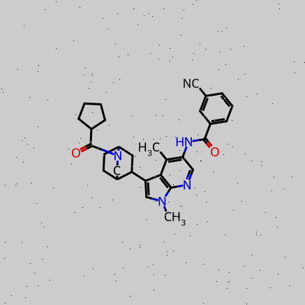 Cc1c(NC(=O)c2cccc(C#N)c2)cnc2c1c(C1CC3CCC1CN3C(=O)C1CCCC1)cn2C